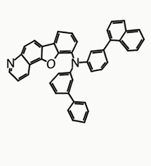 c1ccc(-c2cccc(N(c3cccc(-c4cccc5ccccc45)c3)c3cccc4c3oc3c5cccnc5ccc43)c2)cc1